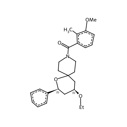 CCO[C@H]1C[C@@H](c2ccccc2)OC2(CCN(C(=O)c3cccc(OC)c3C)CC2)C1